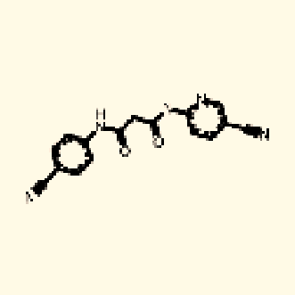 N#Cc1ccc(NC(=O)CC(=O)Nc2ccc(C#N)cn2)cc1